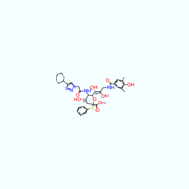 COC(=O)[C@@]1(Sc2ccccc2)C[C@@H](O)C(NC(=O)Cn2cc(C3CCCCC3)nn2)C([C@H](O)[C@H](O)CNC(=O)c2cc(C)c(O)c(C)c2)O1